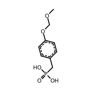 COCOc1ccc(CP(=O)(O)O)cc1